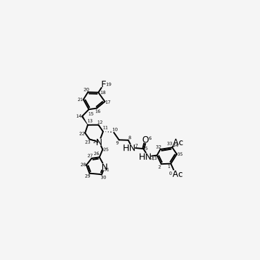 CC(=O)c1cc(NC(=O)NCCC[C@H]2C[C@H](Cc3ccc(F)cc3)CCN2Cc2ccccn2)cc(C(C)=O)c1